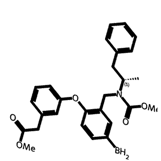 Bc1ccc(Oc2cccc(CC(=O)OC)c2)c(CN(C(=O)OC)[C@@H](C)Cc2ccccc2)c1